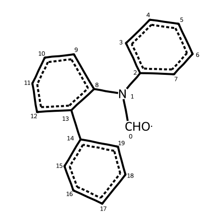 O=[C]N(c1ccccc1)c1ccccc1-c1ccccc1